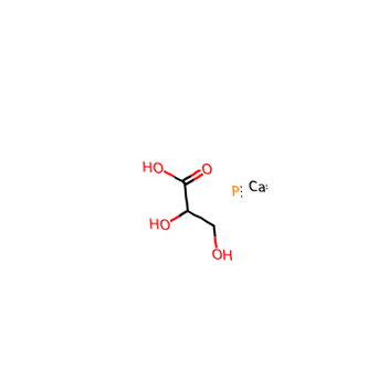 O=C(O)C(O)CO.[Ca].[P]